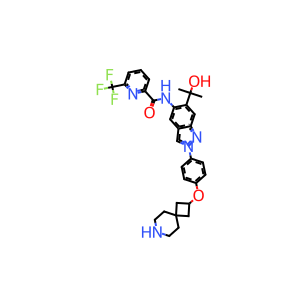 CC(C)(O)c1cc2nn(-c3ccc(OC4CC5(CCNCC5)C4)cc3)cc2cc1NC(=O)c1cccc(C(F)(F)F)n1